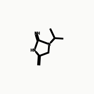 C=C1CN(C(C)C)C(=N)N1